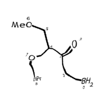 BCC(=O)C(COC)OCCC